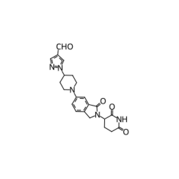 O=Cc1cnn(C2CCN(c3ccc4c(c3)C(=O)N(C3CCC(=O)NC3=O)C4)CC2)c1